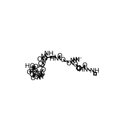 [N-]=[N+]=NCOC1C[C@H](n2cc(C#CCNC(=O)COCCOC(COc3cccc(C(=O)NCCNC4CCC4)c3)N=[N+]=[N-])c(N)nc2=O)O[C@@H]1COP(=O)(O)OP(=O)(O)OP(=O)(O)O